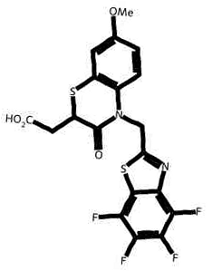 COc1ccc2c(c1)SC(CC(=O)O)C(=O)N2Cc1nc2c(F)c(F)c(F)c(F)c2s1